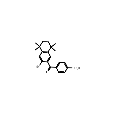 CCc1cc2c(cc1C(=O)c1ccc(C(=O)O)cc1)C(C)(C)CCC2(C)C